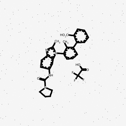 Cc1c(-c2ccccc2C(=O)O)cccc1-n1c(C)nc2ccc(NC(=O)N3CCCC3)cc21.O=C(O)C(F)(F)F